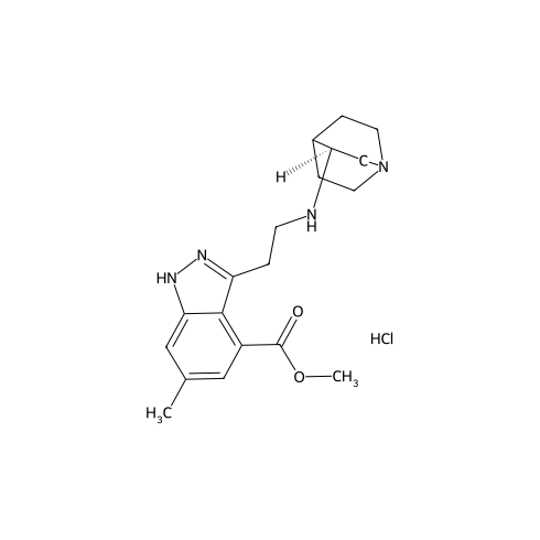 COC(=O)c1cc(C)cc2[nH]nc(CCN[C@@H]3CN4CCC3CC4)c12.Cl